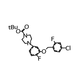 CC(C)(C)OC(=O)N1CCN(c2ccc(F)c(OCc3ccc(Cl)cc3F)c2)CC1